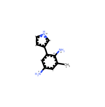 Cc1cc(N)cc(-c2cc[nH]c2)c1N